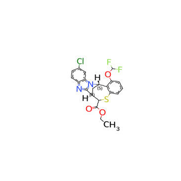 CCOC(=O)C1Sc2cccc(OC(F)F)c2[C@@H]2C[C@@H]1c1nc3ccc(Cl)cc3n12